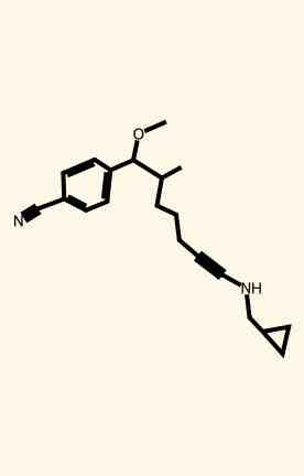 COC(c1ccc(C#N)cc1)C(C)CCCC#CNCC1CC1